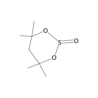 CC1(C)CC(C)(C)OS(=O)O1